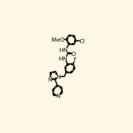 COc1ccc(Cl)cc1NC(=O)Nc1cc(Cn2ccnc2-c2ccncc2)ccc1F